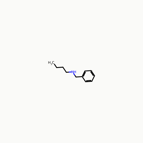 CCCCNCc1c[c]ccc1